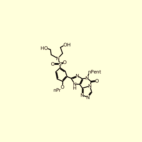 CCCCCn1c(=O)n2cnnc2c2[nH]c(-c3cc(S(=O)(=O)N(CCO)CCO)ccc3OCCC)nc21